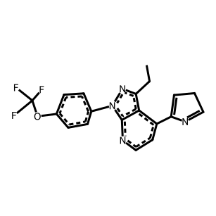 CCc1nn(-c2ccc(OC(F)(F)F)cc2)c2nccc(C3=CCC=N3)c12